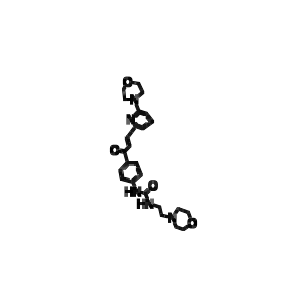 O=C(NCCN1CCOCC1)Nc1ccc(C(=O)C=Cc2cccc(N3CCOCC3)n2)cc1